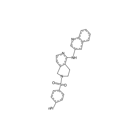 CCCc1ccc(S(=O)(=O)N2CCc3c(ccnc3Nc3cnc4ccccc4c3)C2)cc1